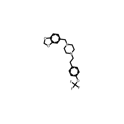 FC(F)(F)Oc1ccc(CCN2CCN(Cc3ccc4c(c3)OCO4)CC2)cc1